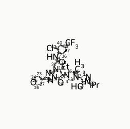 CCc1c(N2CCN(c3cnn(C(C)C)c3O)[C@H](C)C2)c(=O)n2nc(C3=CCOCC3)nc2n1CC(=O)Nc1ccc(C(F)(F)F)cc1Cl